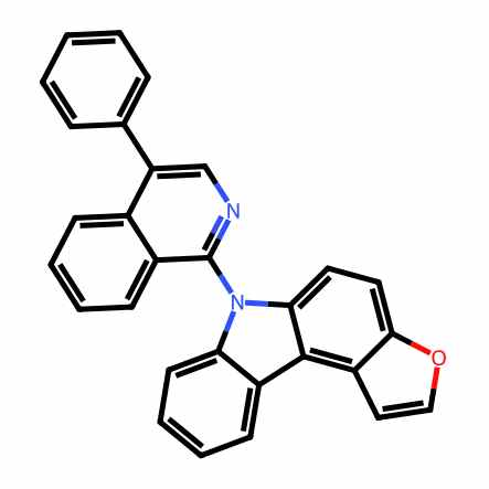 c1ccc(-c2cnc(-n3c4ccccc4c4c5ccoc5ccc43)c3ccccc23)cc1